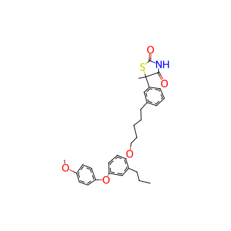 CCCc1cc(Oc2ccc(OC)cc2)ccc1OCCCCCc1cccc(C2(C)SC(=O)NC2=O)c1